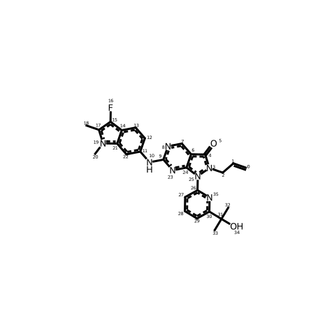 C=CCn1c(=O)c2cnc(Nc3ccc4c(F)c(C)n(C)c4c3)nc2n1-c1cccc(C(C)(C)O)n1